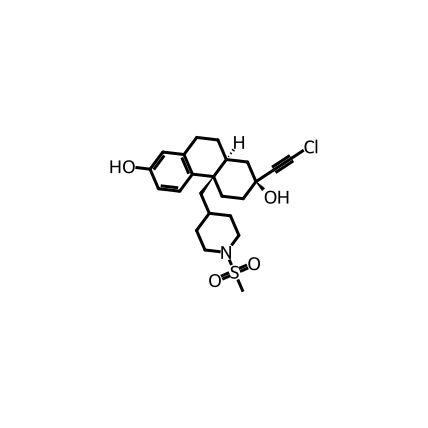 CS(=O)(=O)N1CCC(C[C@]23CC[C@@](O)(C#CCl)C[C@@H]2CCc2cc(O)ccc23)CC1